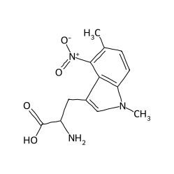 Cc1ccc2c(c(CC(N)C(=O)O)cn2C)c1[N+](=O)[O-]